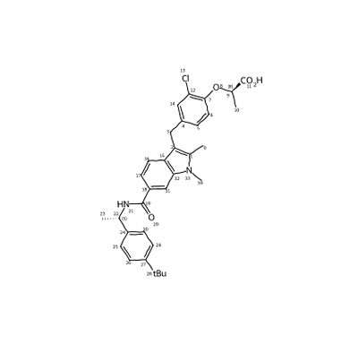 Cc1c(Cc2ccc(O[C@H](C)C(=O)O)c(Cl)c2)c2ccc(C(=O)N[C@@H](C)c3ccc(C(C)(C)C)cc3)cc2n1C